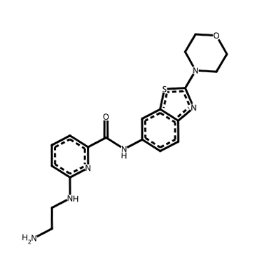 NCCNc1cccc(C(=O)Nc2ccc3nc(N4CCOCC4)sc3c2)n1